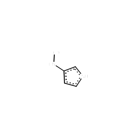 CCCNc1cc[nH]c1